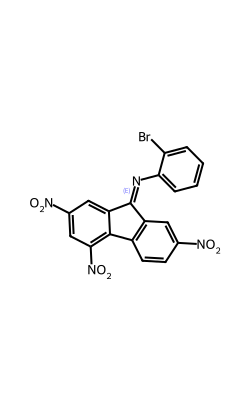 O=[N+]([O-])c1ccc2c(c1)/C(=N\c1ccccc1Br)c1cc([N+](=O)[O-])cc([N+](=O)[O-])c1-2